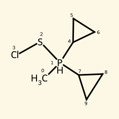 C[PH](SCl)(C1CC1)C1CC1